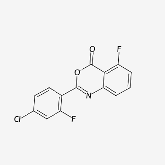 O=c1oc(-c2ccc(Cl)cc2F)nc2cccc(F)c12